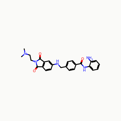 CN(C)CCN1C(=O)c2ccc(NCc3ccc(C(=O)Nc4ccccc4N)cc3)cc2C1=O